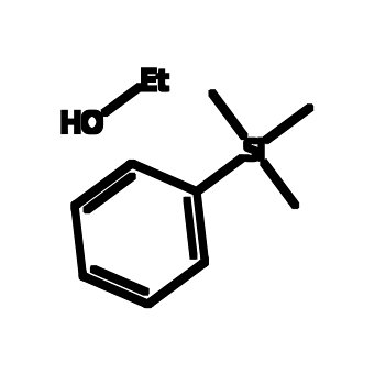 CCO.C[Si](C)(C)c1ccccc1